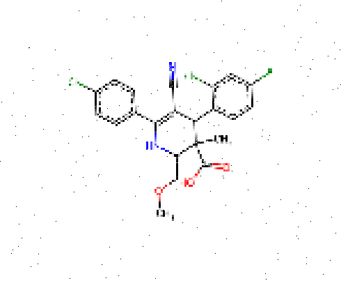 COCC1NC(c2ccc(Cl)cc2)=C(C#N)C(c2ccc(F)cc2Cl)C1(C)C(=O)O